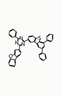 c1ccc(-c2cc(-c3ccccc3)c3sc4ccc(-c5nc(-c6ccccc6)nc(-c6ccc7c(c6)oc6ccccc67)n5)cc4c3c2)cc1